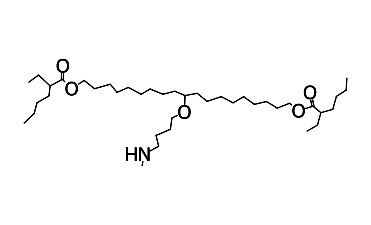 CCCCC(CC)C(=O)OCCCCCCCCCC(CCCCCCCCCOC(=O)C(CC)CCCC)OCCCCNC